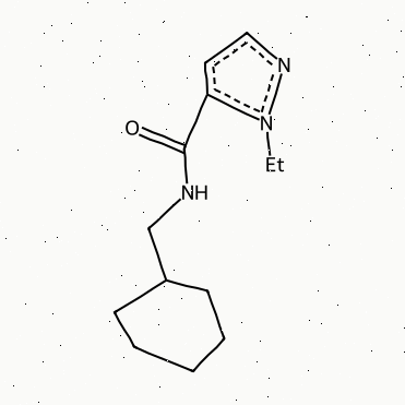 CCn1nccc1C(=O)NCC1CCCCC1